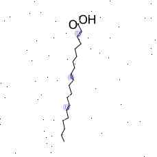 CCCCC/C=C/CCC/C=C/CCCCC/C=C/C(=O)O